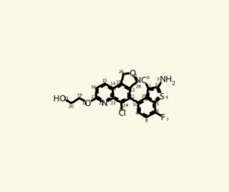 N#Cc1c(N)sc2c(F)ccc(-c3c4c(c5ccc(OCCO)nc5c3Cl)COC4)c12